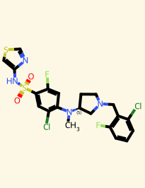 CN(c1cc(F)c(S(=O)(=O)Nc2cscn2)cc1Cl)[C@H]1CCN(Cc2c(F)cccc2Cl)C1